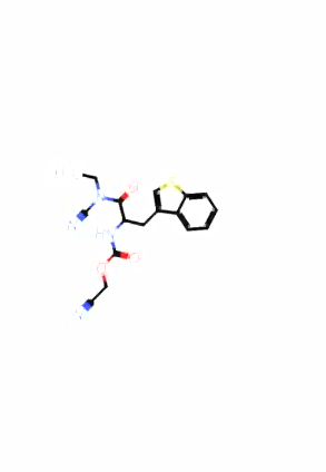 CCN(C#N)C(=O)C(Cc1csc2ccccc12)NC(=O)OCC#N